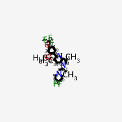 CC[C@@H](CN1CCC(F)(F)CC1)n1cc(C)c2nc(-c3ccc(OC(F)(F)F)cc3OC)c(C)cc21